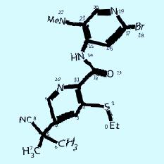 CCSc1cc(C(C)(C)C#N)cnc1C(=O)Nc1cc(Br)ncc1NC